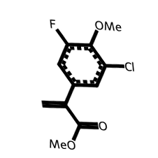 C=C(C(=O)OC)c1cc(F)c(OC)c(Cl)c1